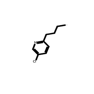 [CH2]CCCc1ccc(Cl)cn1